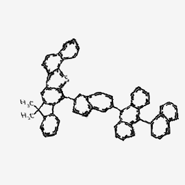 CC1(C)c2ccccc2-c2c1cc1c(sc3c4ccccc4ccc13)c2-c1ccc2cc(-c3c4ccccc4c(-c4cccc5ccccc45)c4ccccc34)ccc2c1